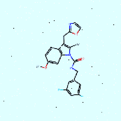 CC(=O)c1c(Cc2ncco2)c2ccc(OC(C)C)cc2n1C(=O)NCc1cc(F)cc(F)c1